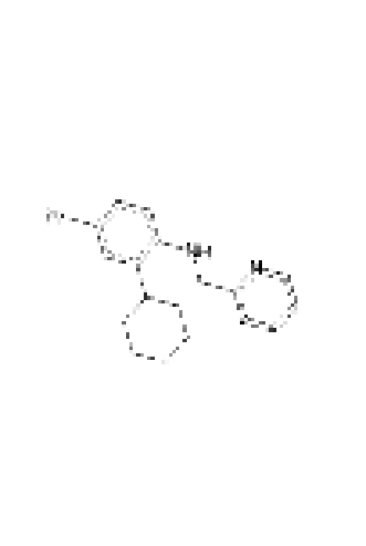 CC(C)c1ccc(NCc2ccccn2)c(C2CCCCC2)c1